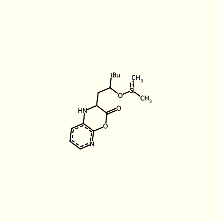 C[SiH](C)OC(CC1Nc2cccnc2OC1=O)C(C)(C)C